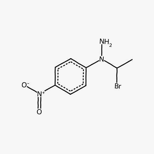 CC(Br)N(N)c1ccc([N+](=O)[O-])cc1